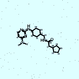 CN(C)c1ccnc(NC2CCC(CNC(=O)CC3CCCC3)CC2)n1